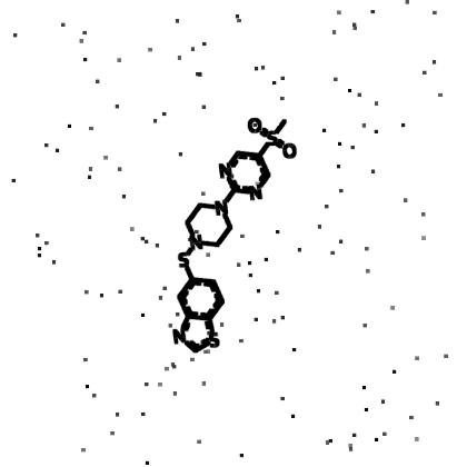 CS(=O)(=O)c1cnc(N2CCN(Sc3ccc4scnc4c3)CC2)nc1